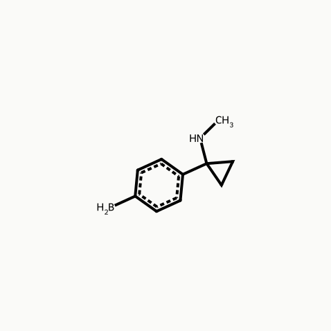 Bc1ccc(C2(NC)CC2)cc1